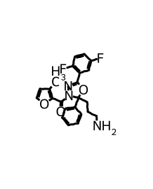 Cc1ccoc1C(=O)N1N=C(c2cc(F)ccc2F)OC1(CCCN)c1ccccc1